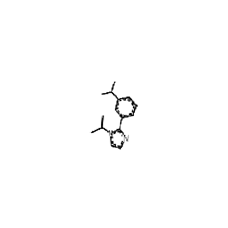 CC(C)c1cccc(-c2nccn2C(C)C)c1